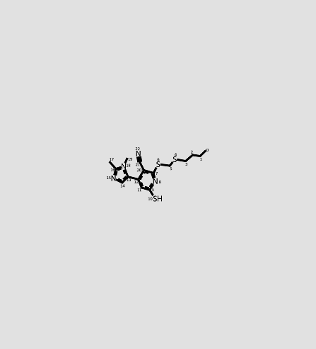 CCCCSCSc1nc(S)cc(-c2cnc(C)n2C)c1C#N